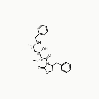 CC[C@@H](C(=O)N1C(=O)OCC1Cc1ccccc1)[C@@H](O)C[C@H](C)NCc1ccccc1